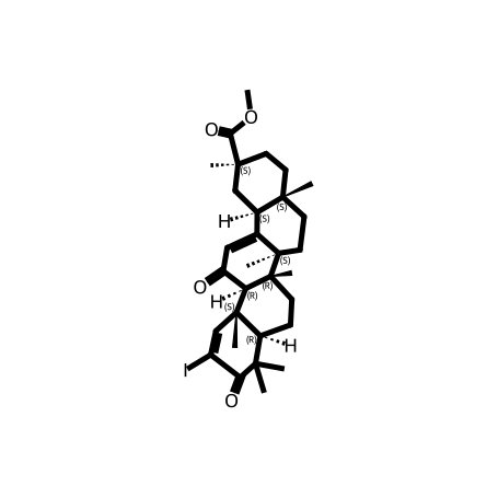 COC(=O)[C@@]1(C)CC[C@]2(C)CC[C@]3(C)C(=CC(=O)[C@@H]4[C@@]5(C)C=C(I)C(=O)C(C)(C)[C@@H]5CC[C@]43C)[C@H]2C1